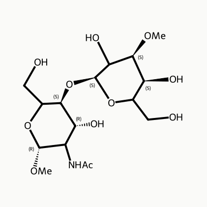 CO[C@@H]1OC(CO)[C@@H](O[C@@H]2OC(CO)[C@H](O)[C@H](OC)C2O)[C@H](O)C1NC(C)=O